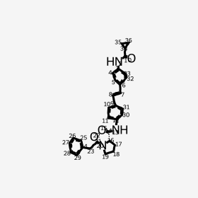 O=C(Nc1ccc(/C=C/c2ccc(NC(=O)[C@@H]3CCCN3C(=O)Cc3ccccc3)cc2)cc1)C1CC1